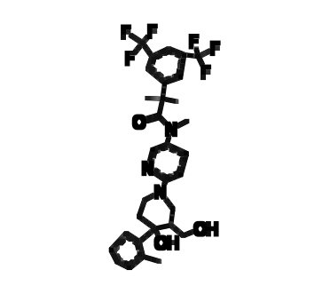 Cc1ccccc1C1(O)CCN(c2ccc(N(C)C(=O)C(C)(C)c3cc(C(F)(F)F)cc(C(F)(F)F)c3)cn2)CC1CO